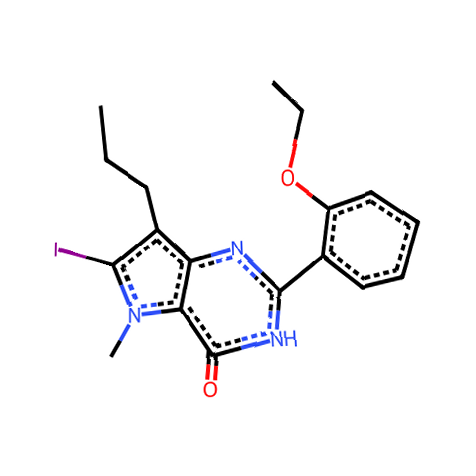 CCCc1c(I)n(C)c2c(=O)[nH]c(-c3ccccc3OCC)nc12